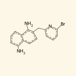 Nc1cccc2c(N)c(Cc3cccc(Br)n3)ccc12